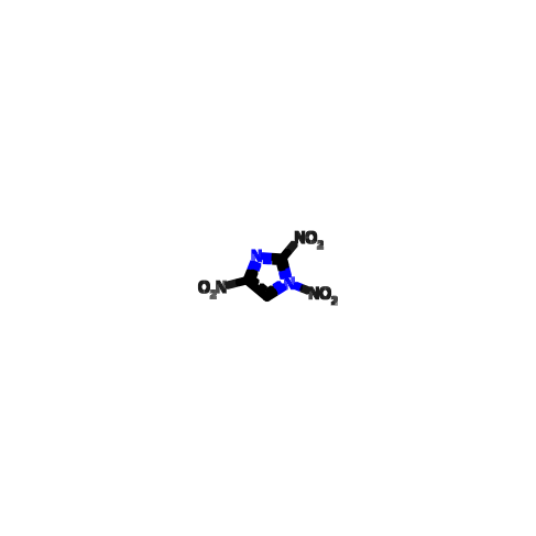 O=[N+]([O-])c1cn([N+](=O)[O-])c([N+](=O)[O-])n1